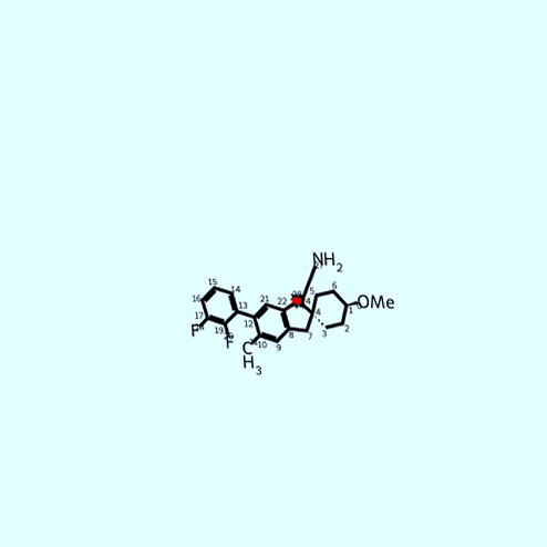 CO[C@H]1CC[C@]2(CC1)Cc1cc(C)c(-c3cccc(F)c3F)cc1[C@@]21N=CC(N)=N1